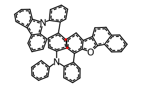 c1ccc(N(c2ccc(-c3ccccc3-n3c4ccccc4c4ccccc43)cc2)c2ccccc2-c2cccc3c2oc2c4ccccc4ccc32)cc1